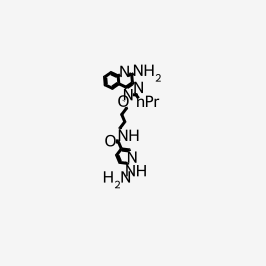 CCCc1nc2c(N)nc3ccccc3c2n1OCCCCNC(=O)c1ccc(NN)nc1